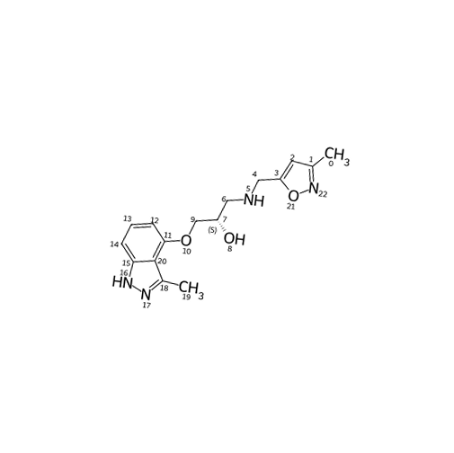 Cc1cc(CNC[C@H](O)COc2cccc3[nH]nc(C)c23)on1